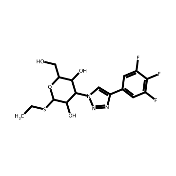 CCSC1OC(CO)C(O)C(n2cc(-c3cc(F)c(F)c(F)c3)nn2)C1O